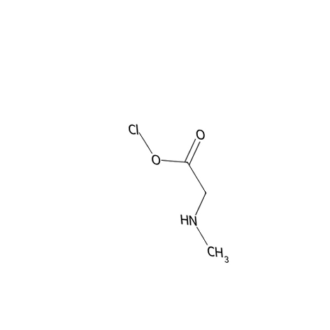 CNCC(=O)OCl